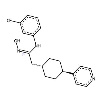 O/N=C(/C[C@H]1CC[C@H](c2ccncc2)CC1)Nc1cccc(Cl)c1